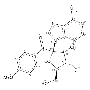 COc1ccc(C(=O)[C@@]2(n3cnc4c(N)ncnc43)O[C@H](CO)[C@@H](O)[C@H]2O)cc1